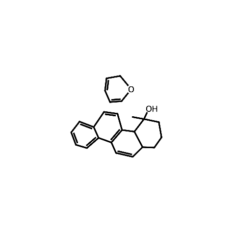 C1=CCOC=C1.CC1(O)CCCC2C=Cc3c(ccc4ccccc34)C21